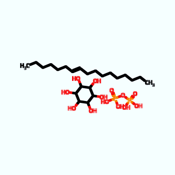 CCCCCCC=CCCCCCCCCC.O=P(O)(O)OP(=O)(O)O.OC1C(O)C(O)C(O)C(O)C1O